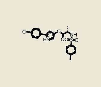 Cc1ccc(S(=O)(=O)N[C@@H](C)C(=O)Oc2c[nH]c(-c3ccc(Cl)cc3)c2)cc1